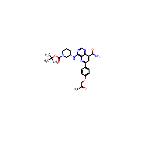 CC(=O)COc1ccc(-c2cc(C(N)=O)c3ncnc(N[C@H]4CCCN(C(=O)OC(C)(C)C)C4)c3n2)cc1